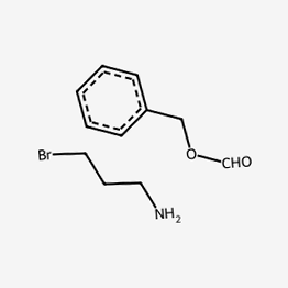 NCCCBr.O=COCc1ccccc1